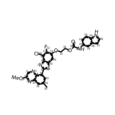 COc1cnc2c(-c3nc4c(Cl)c(F)c(OCCOC(=O)Nc5ccc6[nH]ccc6c5)cc4s3)cc(C)cc2n1